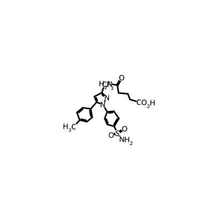 Cc1ccc(-c2cc(C(F)(F)F)nn2-c2ccc(S(N)(=O)=O)cc2)cc1.NC(=O)CCCC(=O)O